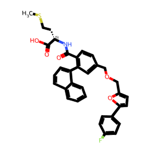 CSCC[C@H](NC(=O)c1ccc(COCc2ccc(-c3ccc(F)cc3)o2)cc1-c1cccc2ccccc12)C(=O)O